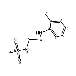 Cc1ccccc1NCCNS(C)(=O)=O